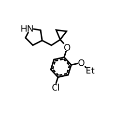 CCOc1cc(Cl)ccc1OC1(CC2CCNC2)CC1